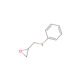 c1ccc(SCC2CO2)cc1